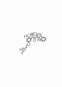 CCCNCCOc1cccc(NC(=O)C2=C(O)CCn3c2nc2ccccc23)c1.Cl